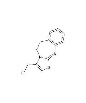 ClCC1=CSC2=Nc3ccccc3CCN12